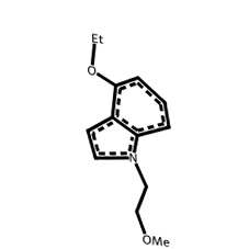 CCOc1cccc2c1ccn2CCOC